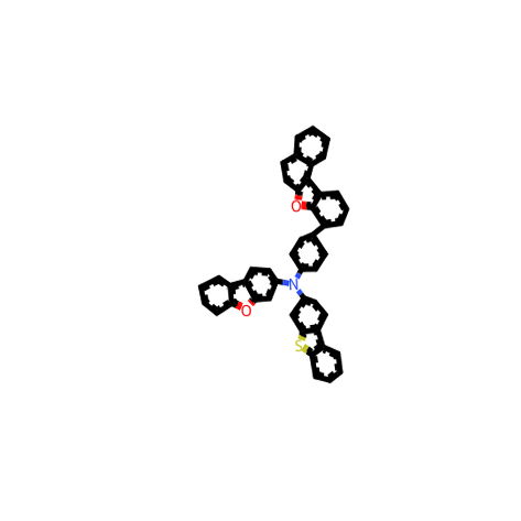 c1ccc2c(c1)ccc1oc3c(-c4ccc(N(c5ccc6c(c5)oc5ccccc56)c5ccc6c(c5)sc5ccccc56)cc4)cccc3c12